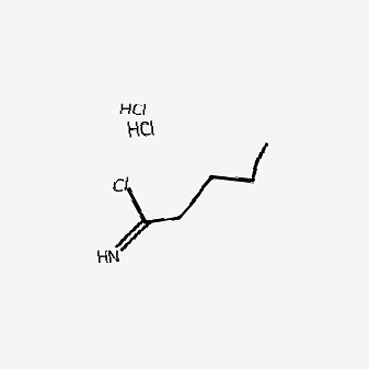 CCCCC(=N)Cl.Cl.Cl